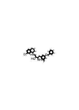 CCc1ccc2c(c1)C(NCC(O)C(Cc1cc(F)cc(OCc3ccccc3)c1)NC(C)=O)CCC2